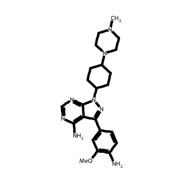 COc1cc(-c2nn(C3CCC(N4CCN(C)CC4)CC3)c3ncnc(N)c23)ccc1N